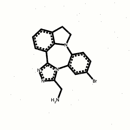 NCc1nnc2n1-c1cc(Br)ccc1N1CCc3cccc-2c31